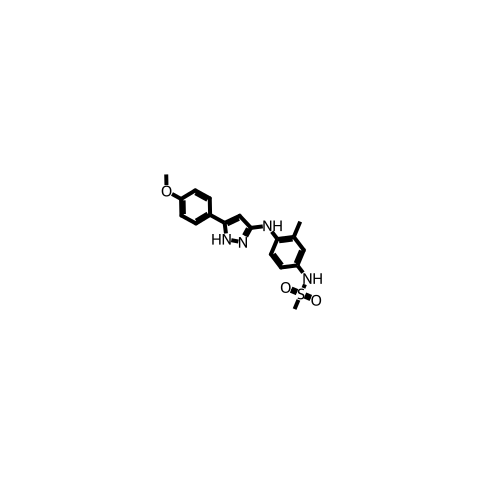 COc1ccc(-c2cc(Nc3ccc(NS(C)(=O)=O)cc3C)n[nH]2)cc1